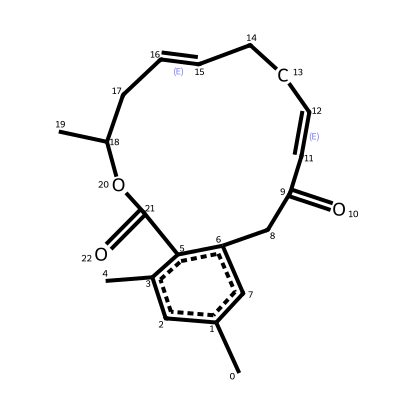 Cc1cc(C)c2c(c1)CC(=O)/C=C/CC/C=C/CC(C)OC2=O